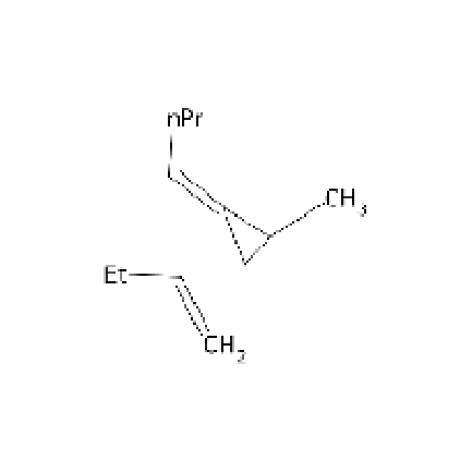 C=CCC.CCCC=C1CC1C